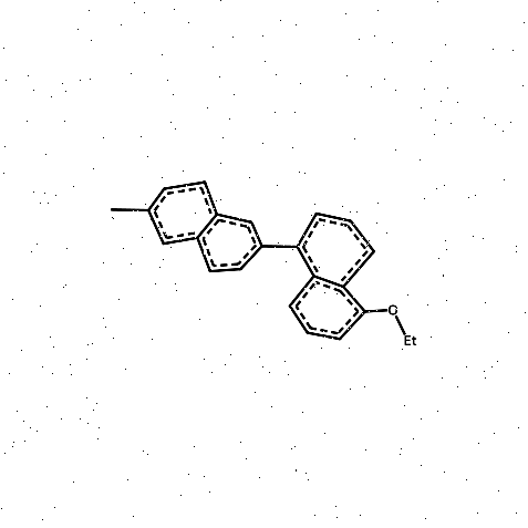 CCOc1cccc2c(-c3ccc4cc(C)ccc4c3)cccc12